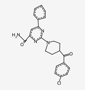 NC(=O)c1cc(-c2ccccc2)nc(N2CCC(C(=O)c3ccc(Cl)cc3)CC2)n1